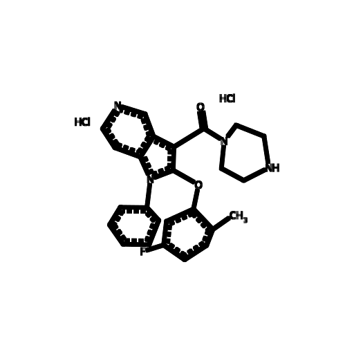 Cc1ccc(F)cc1Oc1c(C(=O)N2CCNCC2)c2cnccc2n1-c1ccccc1.Cl.Cl